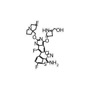 N#Cc1c(N)sc2c(F)ccc(-c3c(Cl)cc4c(O[C@@H]5CN[C@@H](CO)C5)nc(OCC56CCCN5C[C@H](F)C6)nc4c3F)c12